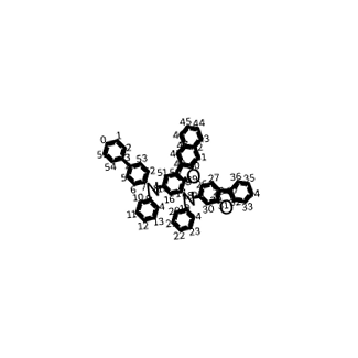 c1ccc(-c2ccc(N(c3ccccc3)c3cc(N(c4ccccc4)c4ccc5c(c4)oc4ccccc45)c4oc5cc6ccccc6cc5c4c3)cc2)cc1